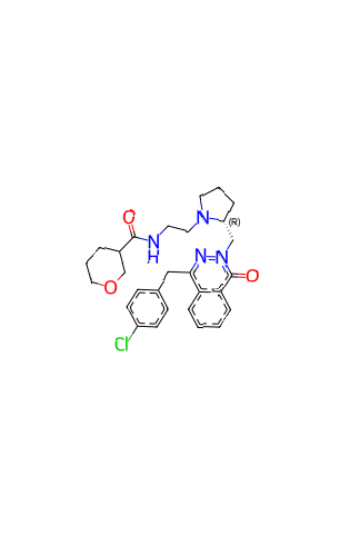 O=C(NCCN1CCC[C@@H]1Cn1nc(Cc2ccc(Cl)cc2)c2ccccc2c1=O)C1CCCOC1